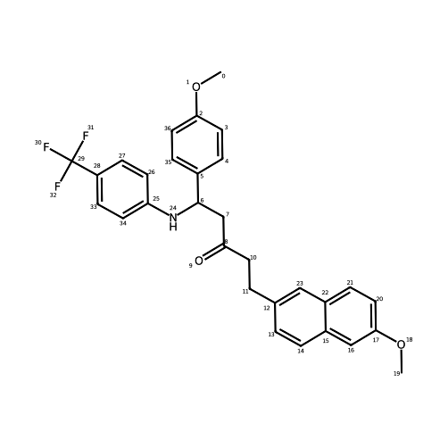 COc1ccc(C(CC(=O)CCc2ccc3cc(OC)ccc3c2)Nc2ccc(C(F)(F)F)cc2)cc1